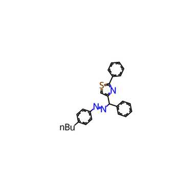 CCCCc1ccc(N=NC(c2ccccc2)c2csc(-c3ccccc3)n2)cc1